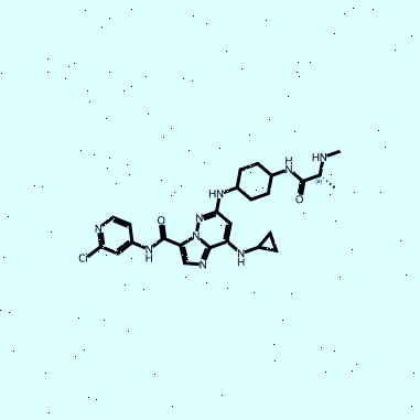 CN[C@H](C)C(=O)NC1CCC(Nc2cc(NC3CC3)c3ncc(C(=O)Nc4ccnc(Cl)c4)n3n2)CC1